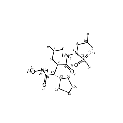 CC(C)C[C@@H](C(=O)NN(CC(C)C)S(C)(=O)=O)[C@@H](C(=O)NO)C1CCCC1